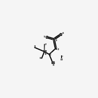 CCC(N=S(=O)=O)[N+](C)(C)C.[I-]